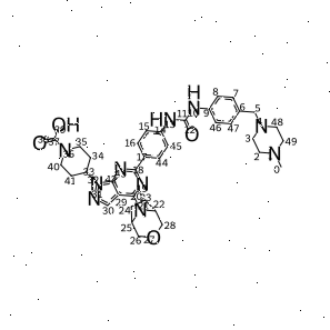 CN1CCN(Cc2ccc(NC(=O)Nc3ccc(-c4nc(N5C6CCC5COC6)c5cnn(C6CCN(C(=O)O)CC6)c5n4)cc3)cc2)CC1